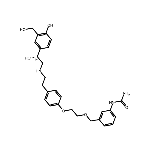 NC(=O)Nc1cccc(COCCOc2ccc(CCNC[C@H](O)c3ccc(O)c(CO)c3)cc2)c1